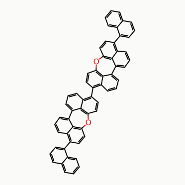 c1ccc2c(-c3ccc4oc5ccc(-c6ccc7oc8ccc(-c9cccc%10ccccc9%10)c9cccc(c%10cccc6c7%10)c89)c6cccc(c7cccc3c47)c56)cccc2c1